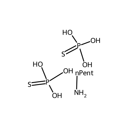 CCCCCN.OP(O)(O)=S.OP(O)(O)=S